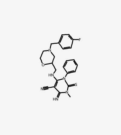 Cn1c(=N)c(C#N)c(NCC2CN(Cc3ccc(F)cc3)CCO2)n(-c2ccccc2)c1=S